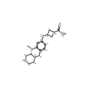 COc1cc(OC2CN(C(=O)O)C2)ccc1CN1CCOCC1